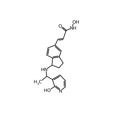 CC(NC1CCc2cc(C=CC(=O)NO)ccc21)c1cccnc1O